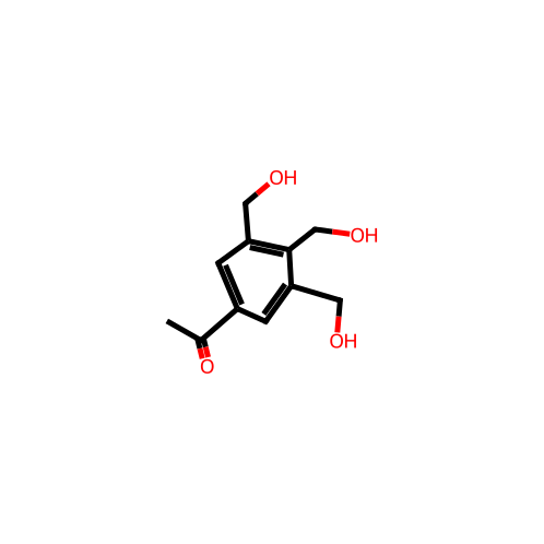 CC(=O)c1cc(CO)c(CO)c(CO)c1